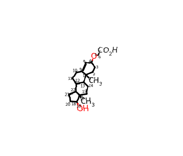 CC12CCC(OCC(=O)O)C=C1CCC1C2CCC2(C)C(O)CCC12